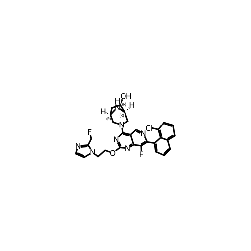 O[C@@H]1C[C@@H]2CN(c3nc(OCCn4ccnc4CF)nc4c(F)c(-c5cccc6cccc(Cl)c56)ncc34)C[C@H]1N2